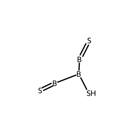 S=BB(S)B=S